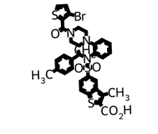 Cc1ccc(C(C)N(c2ccccc2N2CCN(C(=O)c3sccc3Br)CC2)S(=O)(=O)c2ccc3sc(C(=O)O)c(C)c3c2)cc1